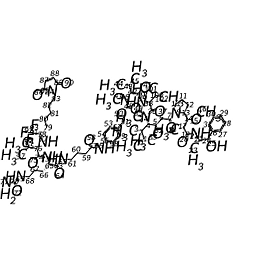 CC[C@H](C)[C@@H]([C@@H](CC(=O)N1CCC[C@H]1[C@H](OC)[C@@H](C)C(=O)N[C@H](C)[C@@H](O)c1ccccc1)OC)N(C)C(=O)[C@@H](NC(=O)C(C(C)C)N(C)C(=O)OCc1ccc(NC(=O)CCCNC(=O)[C@H](CCCNC(N)=O)NC(=O)C(N[C@@H](CCCCCN2C(=O)C=CC2=O)C(F)(F)F)C(C)C)cc1)C(C)C